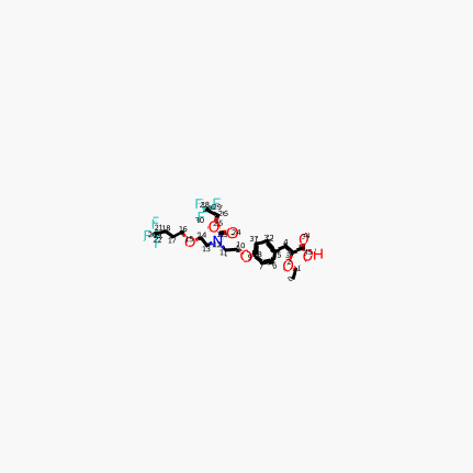 CCOC(Cc1ccc(OCCN(CCOCCCC(F)(F)F)C(=O)OCC(F)(F)F)cc1)C(=O)O